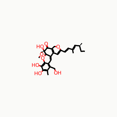 CC[C@H](C)/C=C(C)/C=C/C1=CC2=C(CO1)C(=O)[C@@](C)(O)[C@]1(OC)Oc3c(O)c(O)c(C)c(CO)c3C=C21